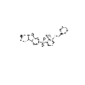 Cc1c(OCc2cccnc2)cccc1S(=O)(=O)c1ccc2c(c1)OC1CNCCC21